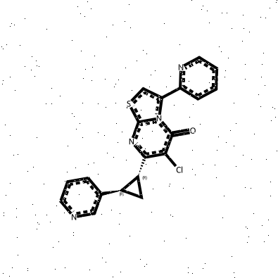 O=c1c(Cl)c([C@@H]2C[C@H]2c2cccnc2)nc2scc(-c3ccccn3)n12